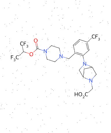 O=C(O)CN1CC2CC1CN2c1cc(C(F)(F)F)ccc1CN1CCN(C(=O)OC(C(F)(F)F)C(F)(F)F)CC1